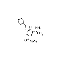 CNC(=O)/C=C/[C@H](CCc1ccccc1)NC(=O)[C@H](C)N